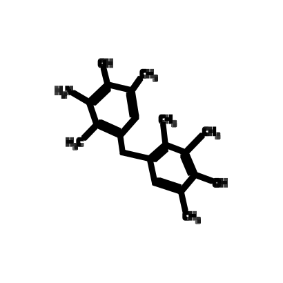 Cc1cc(Cc2cc(C)c(O)c(N)c2C)c(C)c(C)c1O